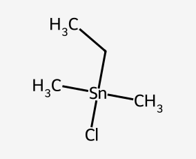 C[CH2][Sn]([CH3])([CH3])[Cl]